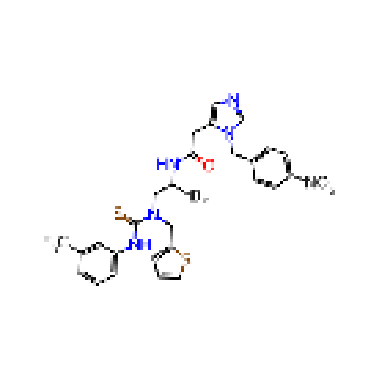 CCC(C)C(CN(Cc1cccs1)C(=S)Nc1cccc(C(F)(F)F)c1)NC(=O)Cc1cncn1Cc1ccc([N+](=O)[O-])cc1